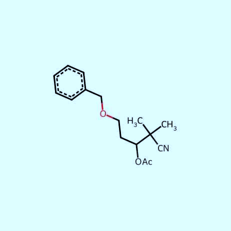 CC(=O)OC(CCOCc1ccccc1)C(C)(C)C#N